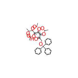 CC(=O)O[C@@H]([C@H](OC(C)=O)[C@@H](OC(C)=O)C(=O)C(C)=O)[C@H](O)COC(c1ccccc1)(c1ccccc1)c1ccccc1